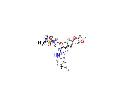 CC1CCC(Nc2ncc(-c3ccc(O[C@H]4CCOC4)cc3)c(OC3CN(S(=O)(=O)N(C)C)C3)n2)CC1